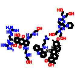 CC(/C=N/NC(=N)N)=N\NC(=N)N.CC1=C(O)C(=O)C=C2C1=CC=C1[C@@]2(C)CC[C@]2(C)[C@@H]3C[C@@H](C)C(=O)C[C@]3(C)CC[C@@]12C.CN(C)CCCNc1c2ccccc2nc2cccc([N+](=O)[O-])c12.O=C1c2c(O)ccc(O)c2C(=O)c2c(NCCNCCO)ccc(NCCNCCO)c21.OCCN(CCO)c1nc(N2CCCCC2)c2nc(N(CCO)CCO)ncc2n1